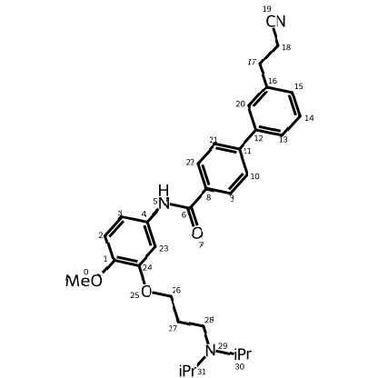 COc1ccc(NC(=O)c2ccc(-c3cccc(CCC#N)c3)cc2)cc1OCCCN(C(C)C)C(C)C